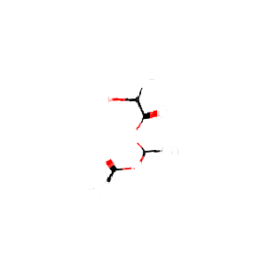 CC(=O)OC(C)OC(=O)C(C)O